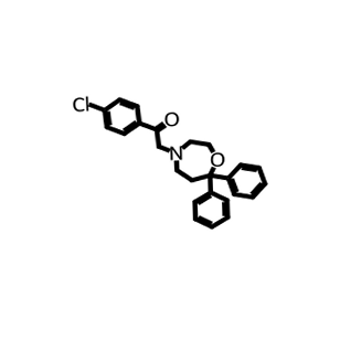 O=C(CN1CCOC(c2ccccc2)(c2ccccc2)CC1)c1ccc(Cl)cc1